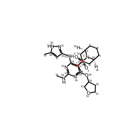 CCS(=O)(=O)N1[C@@H]2CCC[C@H]1CC(c1c(Nc3cc(C)[nH]n3)nc(NC)nc1OC1CCOC1)C2